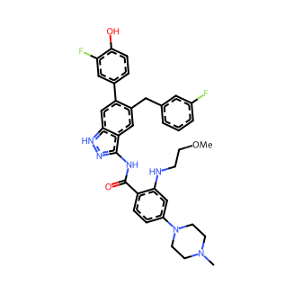 COCCNc1cc(N2CCN(C)CC2)ccc1C(=O)Nc1n[nH]c2cc(-c3ccc(O)c(F)c3)c(Cc3cccc(F)c3)cc12